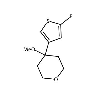 COC1(c2csc(F)c2)CCOCC1